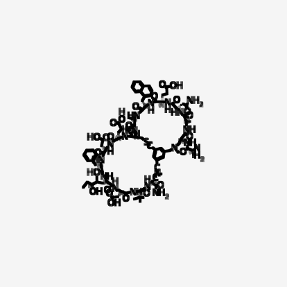 CC[C@H](O)C(C)C[C@@H]1NC(O)[C@H](Cc2ccccc2)NC(=O)[C@H](CC(=O)O)NC(=O)[C@H](CCC(=O)O)NC(=O)[C@H]2CSCc3cc(cc(c3)CN(C)C[C@H](NC(=O)[C@H](C)N)C(=O)N[C@H](C)C(=O)N[C@@H](CC(N)=O)C(=O)N[C@@H](CCC(=O)O)C(=O)N[C@@H](Cc3cccc4ccccc34)C(=O)N[C@H](C)C(=O)N2)CN(C)C[C@@H](C(N)=O)NC(=O)[C@H](C(C)(C)C)NC(=O)[C@H](CC(=O)O)NC1=O